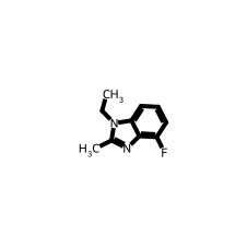 CCn1c(C)nc2c(F)cccc21